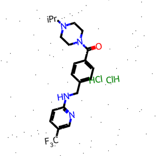 CC(C)N1CCN(C(=O)c2ccc(CNc3ccc(C(F)(F)F)cn3)cc2)CC1.Cl.Cl